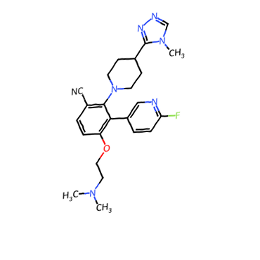 CN(C)CCOc1ccc(C#N)c(N2CCC(c3nncn3C)CC2)c1-c1ccc(F)nc1